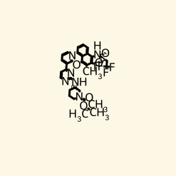 Cc1c(F)c(NS(=O)(=O)CC(F)(F)F)c2ccccc2c1Oc1ncccc1-c1ccnc(N[C@H]2CCCN(C(=O)OC(C)(C)C)C2)n1